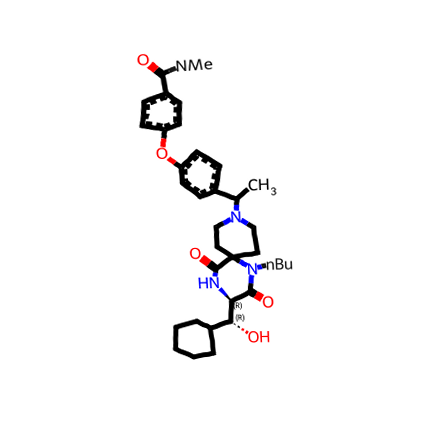 CCCCN1C(=O)[C@@H]([C@H](O)C2CCCCC2)NC(=O)C12CCN(C(C)c1ccc(Oc3ccc(C(=O)NC)cc3)cc1)CC2